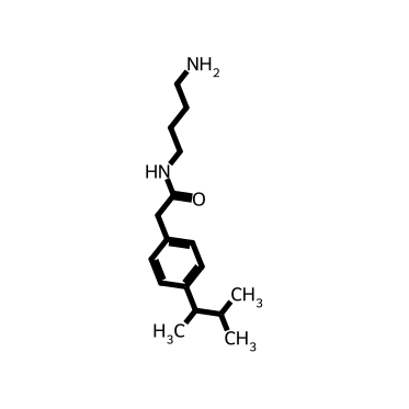 CC(C)C(C)c1ccc(CC(=O)NCCCCN)cc1